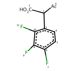 CC(=O)C(C(=O)O)c1ccc(F)c(F)c1F